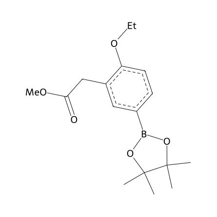 CCOc1ccc(B2OC(C)(C)C(C)(C)O2)cc1CC(=O)OC